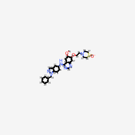 COc1cc2c(Nc3ccc4c(cnn4Cc4ccccc4)c3)ncnc2cc1OCCN1CC[S+]([O-])CC1